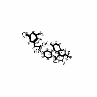 CN(c1cc(C(F)(F)F)nc2ccc(Cl)cc12)[C@H]1CC[C@@H](NC(=O)Cc2cc(F)cc(Cl)c2)CC1